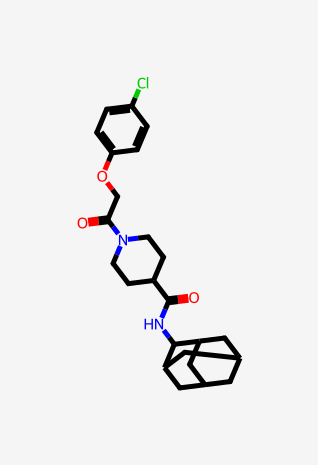 O=C(NC1C2CC3CC(C2)CC1C3)C1CCN(C(=O)COc2ccc(Cl)cc2)CC1